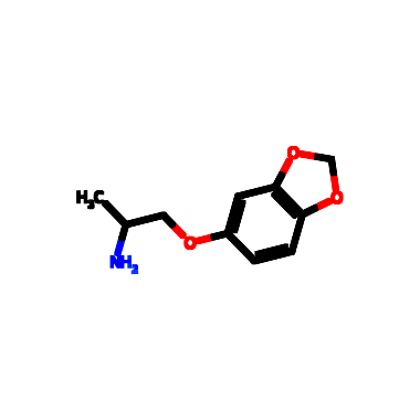 CC(N)COc1ccc2c(c1)OCO2